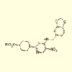 CCOC(=O)C1CCN(c2ncc([N+](=O)[O-])c(NCc3ccc4c(c3)OCO4)n2)CC1